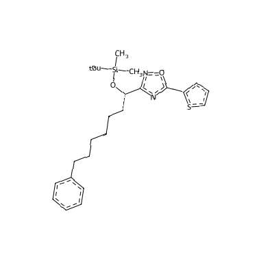 CC(C)(C)[Si](C)(C)OC(CCCCCCc1ccccc1)c1noc(-c2cccs2)n1